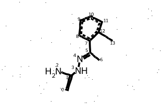 C=C(N)N/N=C(\C)c1ccccc1C